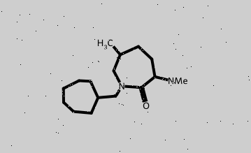 CNC1CCC(C)CN(CC2CCCCCC2)C1=O